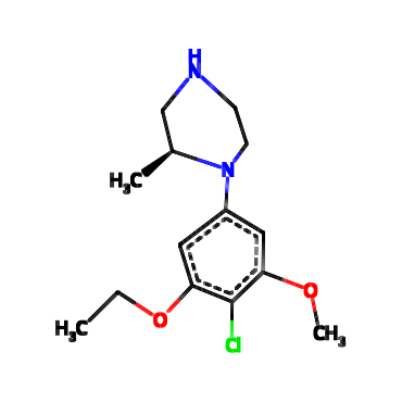 CCOc1cc(N2CCNC[C@@H]2C)cc(OC)c1Cl